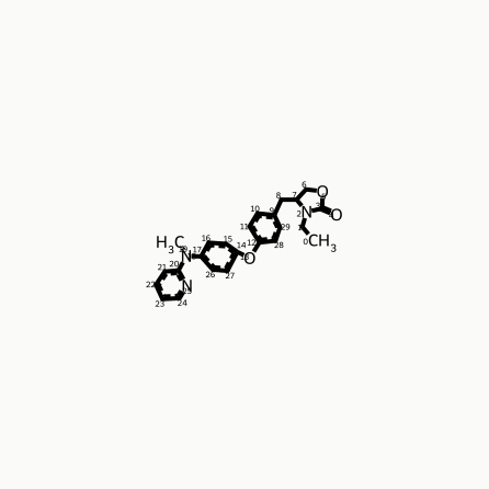 CCN1C(=O)OCC1Cc1ccc(Oc2ccc(N(C)c3ccccn3)cc2)cc1